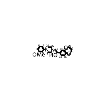 COc1ccccc1N1CCN(CC(O)c2ccc3c(c2)OC=CCO3)CC1